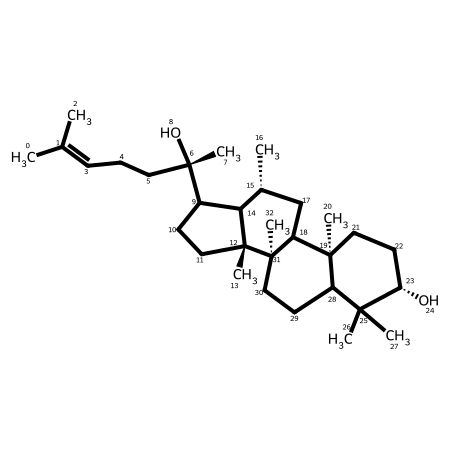 CC(C)=CCC[C@](C)(O)C1CC[C@]2(C)C1[C@H](C)CC1[C@@]3(C)CC[C@H](O)C(C)(C)C3CC[C@]12C